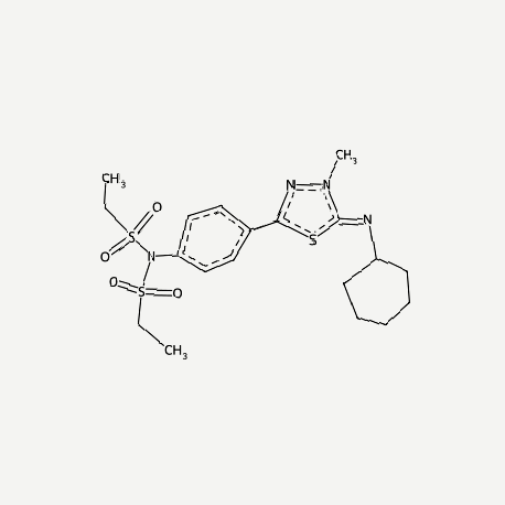 CCS(=O)(=O)N(c1ccc(-c2nn(C)c(=NC3CCCCC3)s2)cc1)S(=O)(=O)CC